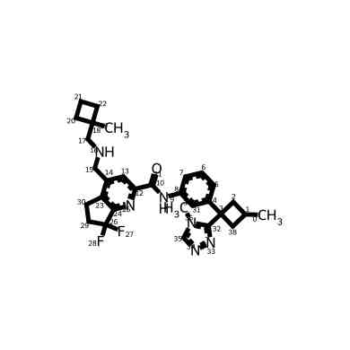 CC1CC(c2cccc(NC(=O)c3cc(CNCC4(C)CCC4)c4c(n3)C(F)(F)CC4)c2)(c2nncn2C)C1